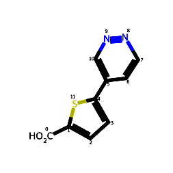 O=C(O)c1ccc(-c2ccnnc2)s1